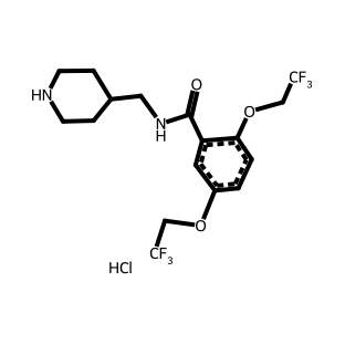 Cl.O=C(NCC1CCNCC1)c1cc(OCC(F)(F)F)ccc1OCC(F)(F)F